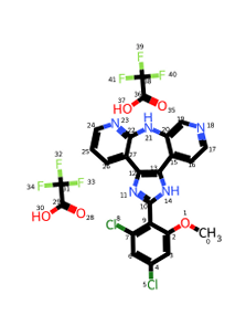 COc1cc(Cl)cc(Cl)c1-c1nc2c([nH]1)-c1ccncc1Nc1ncccc1-2.O=C(O)C(F)(F)F.O=C(O)C(F)(F)F